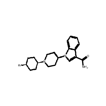 CC(C)[C@H]1CC[C@@H](N2CCC(n3cc(C(N)=O)c4ccccc43)CC2)CC1